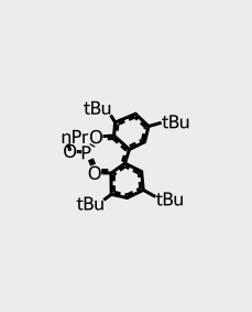 CCCOp1oc2c(C(C)(C)C)cc(C(C)(C)C)cc2c2cc(C(C)(C)C)cc(C(C)(C)C)c2o1